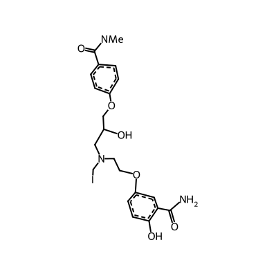 CNC(=O)c1ccc(OCC(O)CN(CI)CCOc2ccc(O)c(C(N)=O)c2)cc1